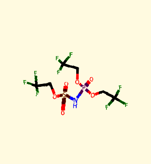 O=P(NS(=O)(=O)OCC(F)(F)F)(OCC(F)(F)F)OCC(F)(F)F